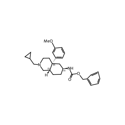 COc1cccc([C@@]23CCN(CC4CC4)C[C@H]2CC[C@H](NC(=O)OCc2ccccc2)C3)c1